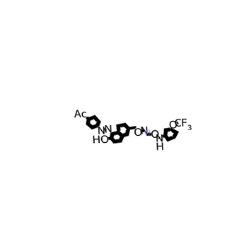 CC(=O)c1ccc(N=Nc2c(O)ccc3cc(CO/N=C/ONc4cccc(OC(F)(F)F)c4)ccc23)cc1